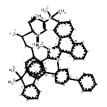 C=CC(C(C)CCc1cc2c(cc1-c1n(-c3cc(-c4ccccc4)ccc3-c3ccccc3)c3c4ccccc4c4ccccc4c3[n+]1C)-c1ccccc1C2(C)C)[N+](=C)/C=C(\C)[Si](C)(C)C